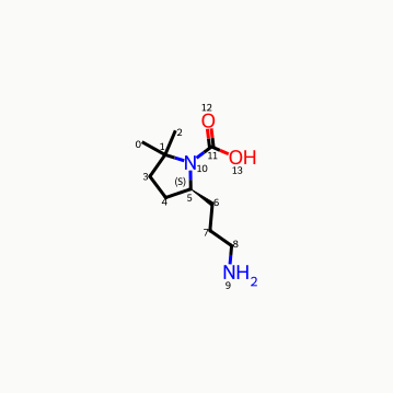 CC1(C)CC[C@H](CCCN)N1C(=O)O